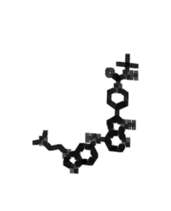 CN(C)CCn1cnc2ccc(Nc3ccnc4[nH]c(C5=CCN(C(=O)NC(C)(C)C)CC5)cc34)cc21